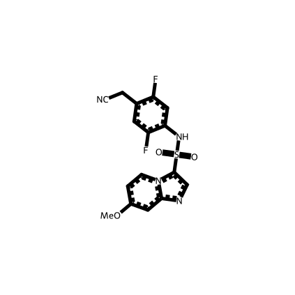 COc1ccn2c(S(=O)(=O)Nc3cc(F)c(CC#N)cc3F)cnc2c1